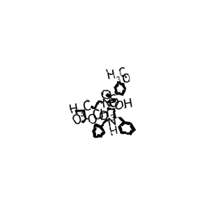 COc1ccc(S(=O)(=O)N(CC(C)C)C[C@@H](O)[C@H](Cc2ccccc2)NC(=O)c2ccccc2O[C@@H]2CCOC2)cc1